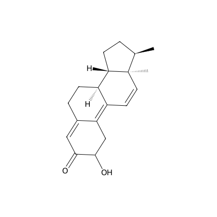 C[C@@H]1CC[C@H]2[C@@H]3CCC4=CC(=O)C(O)CC4=C3C=C[C@]12C